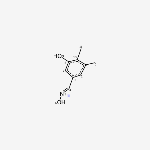 Cc1cc(/C=N/O)cc(O)c1C